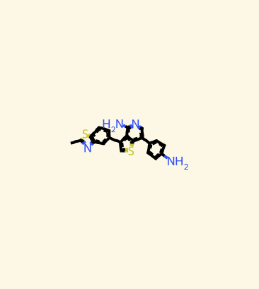 Cc1nc2cc(-c3csc4c(-c5ccc(N)cc5)cnc(N)c34)ccc2s1